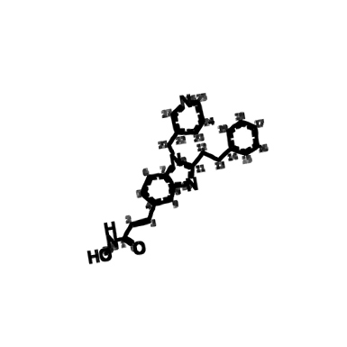 O=C(C=Cc1ccc2c(c1)nc(CCc1ccccc1)n2Cc1cccnc1)NO